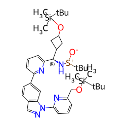 CC(C)(C)[S+]([O-])N[C@@H](c1cccc(-c2ccc3cnn(-c4cccc(CO[Si](C)(C)C(C)(C)C)n4)c3c2)n1)C1CC(O[Si](C)(C)C(C)(C)C)C1